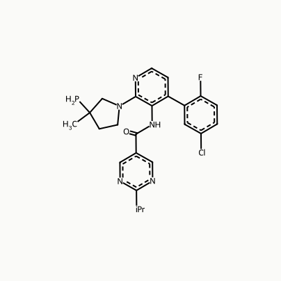 CC(C)c1ncc(C(=O)Nc2c(-c3cc(Cl)ccc3F)ccnc2N2CCC(C)(P)C2)cn1